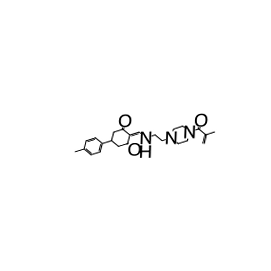 C=C(C)C(=O)N1CCN(CCNC=C2C(=O)CC(c3ccc(C)cc3)CC2=O)CC1